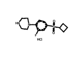 Cl.O=S(=O)(c1ccc(N2CCNCC2)c(F)c1)C1CCC1